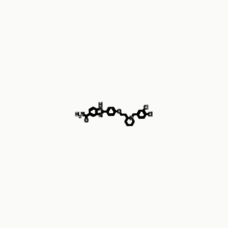 NC(=O)c1ccc2[nH]c(-c3ccc(OCCC4CCCCN4Cc4ccc(Cl)c(Cl)c4)cc3)nc2c1